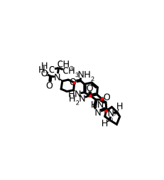 CC(C)(C)N(C(=O)O)[C@H]1CC[C@H](Nc2cc(C(=O)N[C@H]3C[C@H]4CC[C@@H](C3)N4c3ccc(C(N)=O)cn3)ccc2C(N)=O)CC1